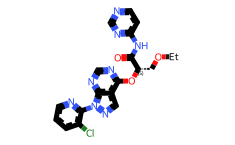 CCOC[C@H](Oc1ncnc2c1cnn2-c1ncccc1Cl)C(=O)Nc1ccncn1